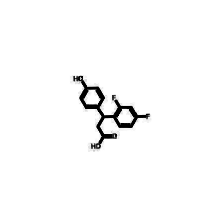 O=C(O)CC(c1ccc(O)cc1)c1ccc(F)cc1F